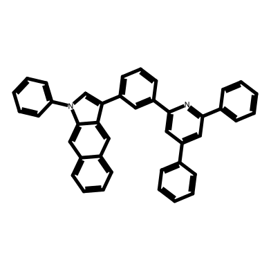 c1ccc(-c2cc(-c3ccccc3)nc(-c3cccc(-c4cn(-c5ccccc5)c5cc6ccccc6cc45)c3)c2)cc1